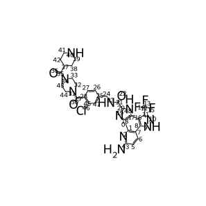 Cc1nc(N)ccc1-c1[nH]nc(C(F)(F)F)c1-c1cnc(C(=O)NCc2ccc(C(=O)N3CCN(C(=O)C4CCNCC4)CC3)c(Cl)c2)[nH]1